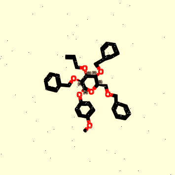 C=CCO[C@H]1[C@@H](OCc2ccccc2)[C@@H](COCc2ccccc2)O[C@H](Oc2ccc(OC)cc2)[C@@H]1OCc1ccccc1